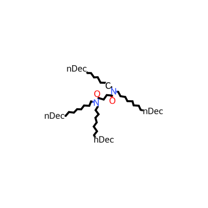 CCCCCCCCCCCCCCCCCCN(CCCCCCCCCCCCCCCCCC)C(=O)CCC(=O)N(CCCCCCCCCCCCCCCCCC)CCCCCCCCCCCCCCCCCC